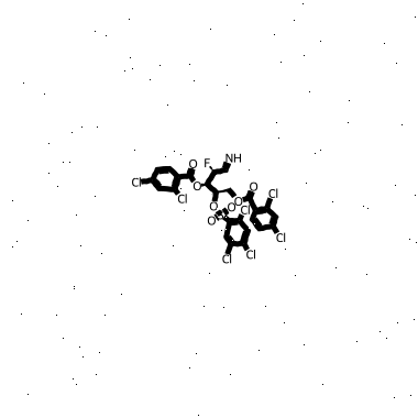 N=C[C@@H](F)[C@H](OC(=O)c1ccc(Cl)cc1Cl)[C@@H](COC(=O)c1ccc(Cl)cc1Cl)OS(=O)(=O)c1cc(Cl)c(Cl)cc1Cl